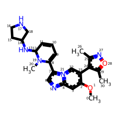 COc1cc2ncc(C3=CC=CC(NC4CCNC4)N3C)n2cc1-c1c(C)noc1C